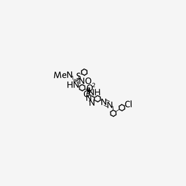 CNCC[C@H](CSc1ccccc1)Nc1ccc(S(=O)(=O)Nc2ncnc3cc(N4CCN(Cc5ccccc5-c5ccc(Cl)cc5)CC4)ccc23)cc1[N+](=O)[O-]